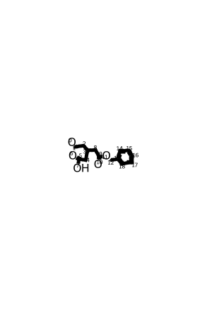 O=CCC(CC(=O)O)CC(=O)OCc1ccccc1